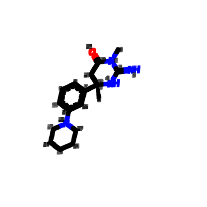 CN1C(=N)N[C@](C)(c2cccc(N3CCCCC3)c2)CC1=O